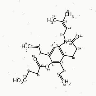 C=CCc1cc2c(c(CC=C)c1OC(=O)CCC(=O)O)CCC(=O)N2CC=C(C)C